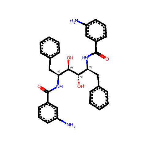 Nc1cccc(C(=O)N[C@@H](Cc2ccccc2)[C@H](O)[C@H](O)[C@H](Cc2ccccc2)NC(=O)c2cccc(N)c2)c1